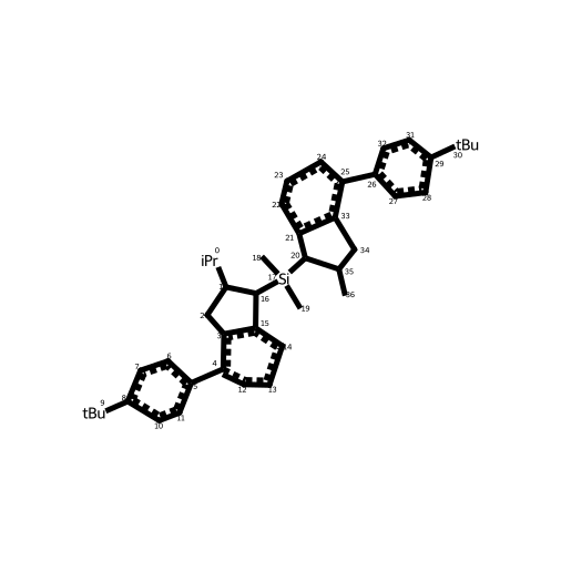 CC(C)C1Cc2c(-c3ccc(C(C)(C)C)cc3)cccc2C1[Si](C)(C)C1c2cccc(-c3ccc(C(C)(C)C)cc3)c2CC1C